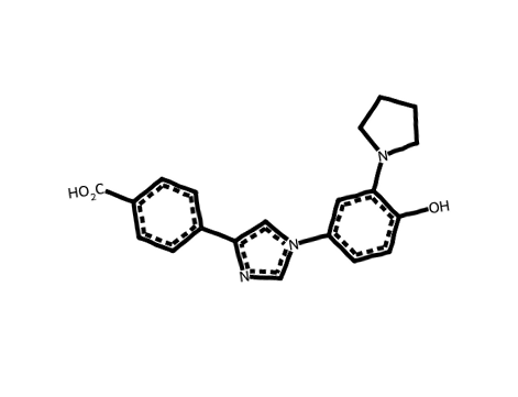 O=C(O)c1ccc(-c2cn(-c3ccc(O)c(N4CCCC4)c3)cn2)cc1